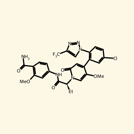 CC[C@@H](C(=O)Nc1ccc(C(N)=O)c(OC)c1)n1cc(OC)c(-c2cc(Cl)ccc2-n2cc(C(F)(F)F)nn2)cc1=O